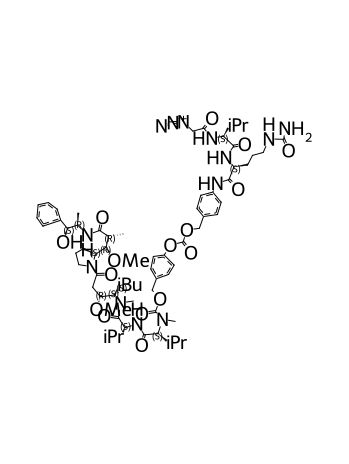 CC[C@H](C)[C@@H]([C@@H](CC(=O)N1CCC[C@H]1[C@H](OC)[C@@H](C)C(=O)N[C@H](C)[C@@H](O)c1ccccc1)OC)N(C)C(=O)[C@@H](NC(=O)[C@H](C(C)C)N(C)C(=O)OCc1ccc(OC(=O)OCc2ccc(NC(=O)[C@H](CCCNC(N)=O)NC(=O)[C@@H](NC(=O)CN=[N+]=[N-])C(C)C)cc2)cc1)C(C)C